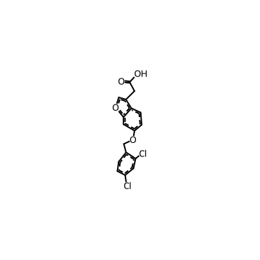 O=C(O)Cc1coc2cc(OCc3ccc(Cl)cc3Cl)ccc12